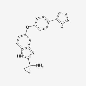 NC1(c2nc3cc(Oc4ccc(-c5ccn[nH]5)cc4)ccc3[nH]2)CC1